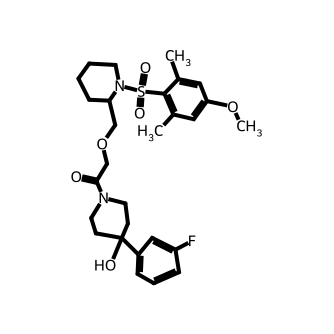 COc1cc(C)c(S(=O)(=O)N2CCCCC2COCC(=O)N2CCC(O)(c3cccc(F)c3)CC2)c(C)c1